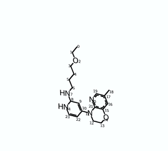 CCOCCCCNC1C=C(N2CCOc3cc(C)cnc32)C=CN1